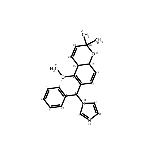 COC1=C(C(c2ccccc2)n2ccnc2)C=CC2OC(C)(C)C=CC12